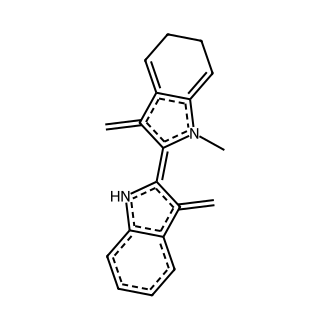 C=c1c2c(n(C)/c1=c1/[nH]c3ccccc3c1=C)=CCCC=2